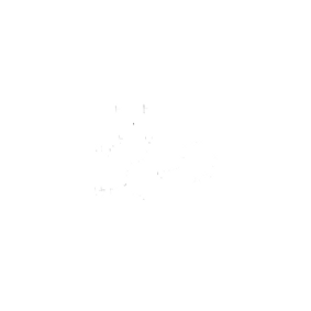 CC(C(=O)O)C(Oc1ccccc1)OC(F)(F)F